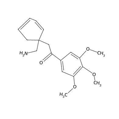 COc1cc(C(=O)CC2(CN)C=CC=CC2)cc(OC)c1OC